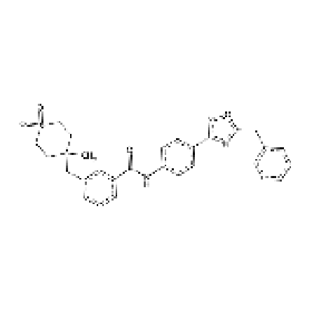 CC1(Cc2cccc(C(=O)Nc3ccc(-c4noc(Cc5ccccc5)n4)cc3)c2)CCS(=O)(=O)CC1